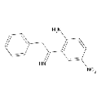 N=C(Cc1ccccc1)c1cc([N+](=O)[O-])ccc1N